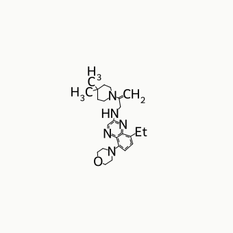 C=C(CNc1cnc2c(N3CCOCC3)ccc(CC)c2n1)N1CCC(C)(C)CC1